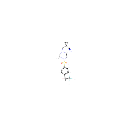 CC1CN(CC2(C#N)CC2)CCN1S(=O)(=O)c1ccc(C(C)(O)C(F)(F)F)cc1